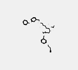 C#CCCOc1cccc(CO[C@]2(C(=O)O)C[C@H](O)[C@@H](NC(C)=O)[C@H]([C@H](O)[C@H](O)CNC(=O)c3cccc(Oc4ccccc4)c3)O2)c1